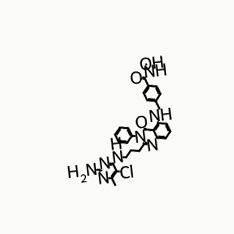 Cc1nc(N)nc(NCCCc2nc3cccc(NCc4ccc(C(=O)NO)cc4)c3c(=O)n2-c2ccccc2)c1Cl